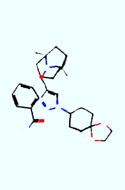 NC(=O)c1cccc([C@H]2C[C@H]3CC[C@@H](C2)N3Cc2cn(C3CCC4(CC3)OCCO4)nn2)c1